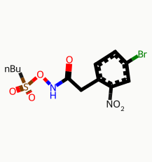 CCCCS(=O)(=O)ONC(=O)Cc1ccc(Br)cc1[N+](=O)[O-]